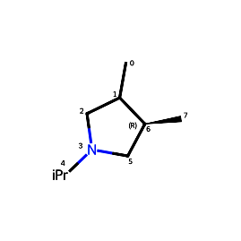 CC1CN(C(C)C)C[C@@H]1C